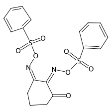 O=C1CCCC(=N/OS(=O)(=O)c2ccccc2)/C1=N/OS(=O)(=O)c1ccccc1